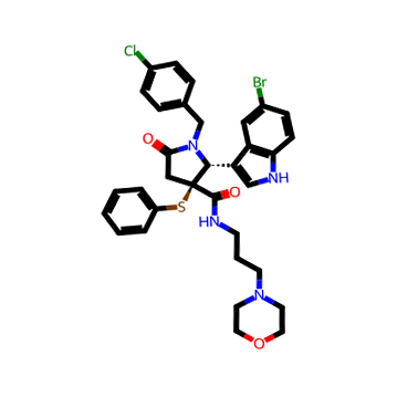 O=C1C[C@@](Sc2ccccc2)(C(=O)NCCCN2CCOCC2)[C@@H](c2c[nH]c3ccc(Br)cc23)N1Cc1ccc(Cl)cc1